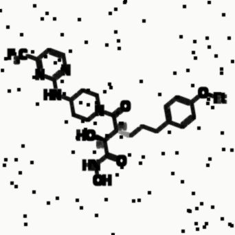 CCOc1ccc(CCC[C@@H](C(=O)N2CCC(Nc3nccc(C(F)(F)F)n3)CC2)[C@H](O)C(=O)NO)cc1